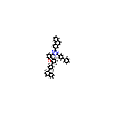 c1ccc(-c2ccc(-c3nc(-c4ccc5c(ccc6ccccc65)c4)nc(-c4cccc5oc6c(-c7ccc(-c8cccc9ccccc89)cc7)cccc6c45)n3)cc2)cc1